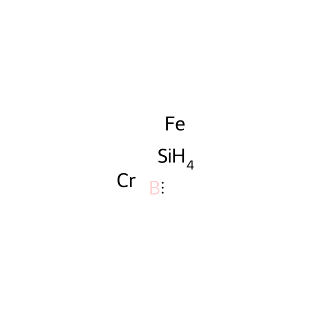 [B].[Cr].[Fe].[SiH4]